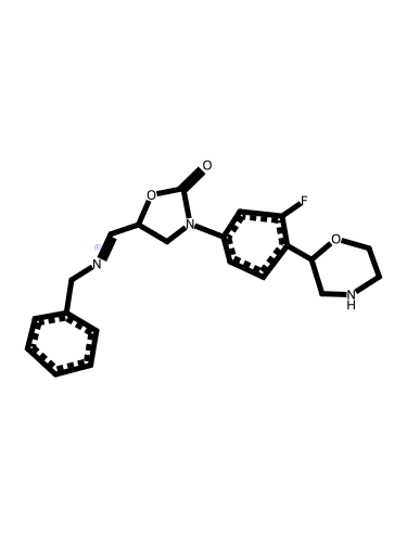 O=C1OC(/C=N/Cc2ccccc2)CN1c1ccc(C2CNCCO2)c(F)c1